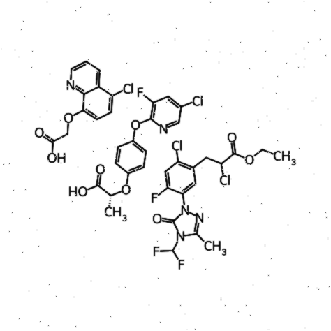 CCOC(=O)C(Cl)Cc1cc(-n2nc(C)n(C(F)F)c2=O)c(F)cc1Cl.C[C@@H](Oc1ccc(Oc2ncc(Cl)cc2F)cc1)C(=O)O.O=C(O)COc1ccc(Cl)c2cccnc12